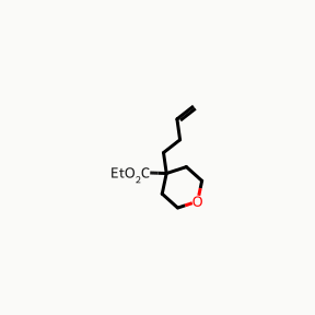 C=CCCC1(C(=O)OCC)CCOCC1